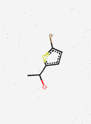 CC([O])c1ccc(Br)s1